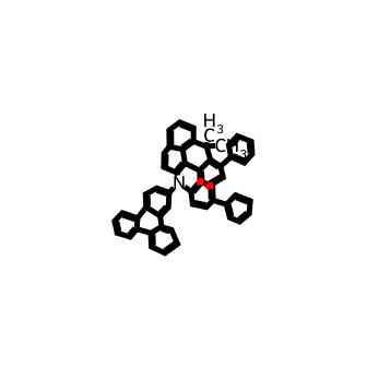 CC1(C)c2c(-c3ccccc3)cccc2-c2c(N(c3ccc(-c4ccccc4)cc3)c3ccc4c5ccccc5c5ccccc5c4c3)ccc3cccc1c23